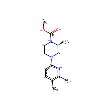 C[C@H]1CN(c2ccc([N+](=O)[O-])c(N)n2)CCN1C(=O)OC(C)(C)C